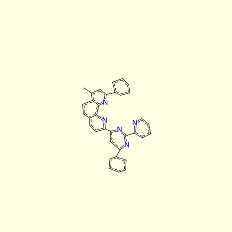 Cc1cc(-c2ccccc2)nc2c1ccc1ccc(-c3cc(-c4ccccc4)nc(-c4ccccn4)n3)nc12